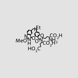 CCN(Cc1ccc2nc(OC)[nH]c(=O)c2c1)c1ccc(C(=O)N(C(=O)CC[C@H](N)C(=O)O)[C@H](CCC(=O)O)C(=O)O)cc1